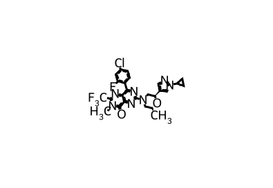 C[C@H]1CN(c2nc(-c3ccc(Cl)cc3F)c3nc(C(F)(F)F)n(C)c(=O)c3n2)C[C@@H](c2cnn(C3CC3)c2)O1